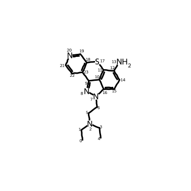 CCN(CC)CCn1nc2c3c(c(N)ccc31)Sc1cnccc1-2